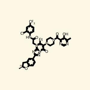 CCc1c(N2CCN(C(=O)c3ncnc(C)c3O)CC2)c(=O)n2nc(-c3ccc4c(c3)C[C@H](C)O4)nc2n1CC(=O)Nc1ccc(C(F)(F)F)cc1Cl